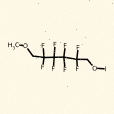 COCC(F)(F)C(F)(F)C(F)(F)C(F)(F)COI